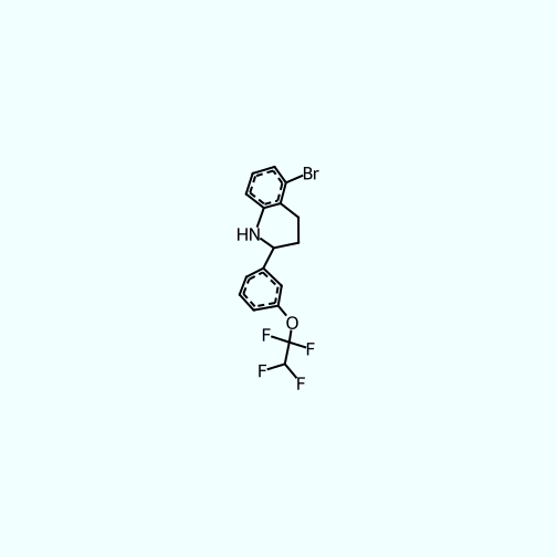 FC(F)C(F)(F)Oc1cccc(C2CCc3c(Br)cccc3N2)c1